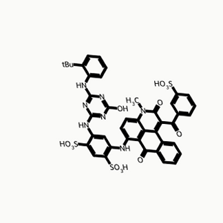 Cn1c(=O)c(C(=O)c2cccc(S(=O)(=O)O)c2)c2c3c(c(Nc4cc(Nc5nc(O)nc(Nc6ccccc6C(C)(C)C)n5)c(S(=O)(=O)O)cc4S(=O)(=O)O)ccc31)C(=O)c1ccccc1-2